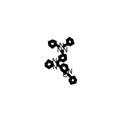 c1ccc(-c2nc(-c3ccccc3)nc(-c3cccc(-c4nc5ccccc5nc4-c4ccc5nc(-c6ccccc6)oc5c4)c3)n2)cc1